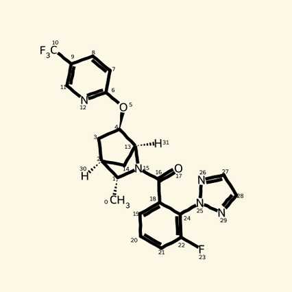 C[C@@H]1[C@H]2C[C@@H](Oc3ccc(C(F)(F)F)cn3)[C@H](C2)N1C(=O)c1cccc(F)c1-n1nccn1